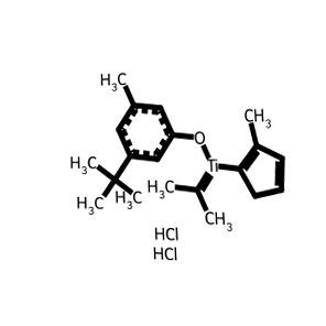 CC1=[C]([Ti]([O]c2cc(C)cc(C(C)(C)C)c2)=[C](C)C)CC=C1.Cl.Cl